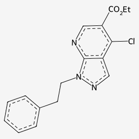 CCOC(=O)c1cnc2c(cnn2CCc2ccccc2)c1Cl